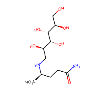 NC(=O)CC[C@H](NC[C@@H](O)[C@@H](O)[C@H](O)[C@H](O)CO)C(=O)O